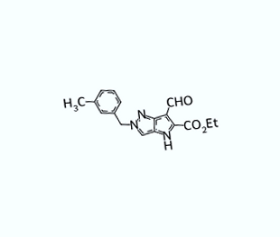 CCOC(=O)c1[nH]c2cn(Cc3cccc(C)c3)nc2c1C=O